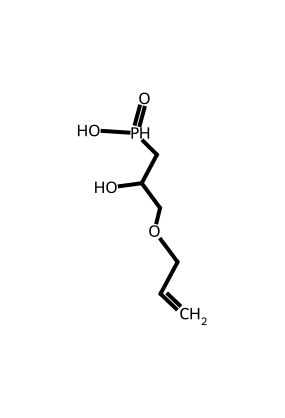 C=CCOCC(O)C[PH](=O)O